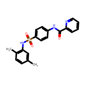 Cc1ccc(C)c(NS(=O)(=O)c2ccc(NC(=O)c3ccccn3)cc2)c1